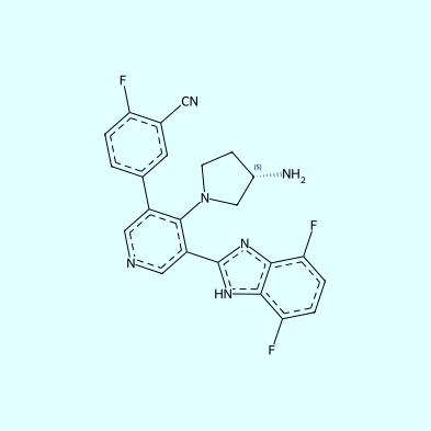 N#Cc1cc(-c2cncc(-c3nc4c(F)ccc(F)c4[nH]3)c2N2CC[C@H](N)C2)ccc1F